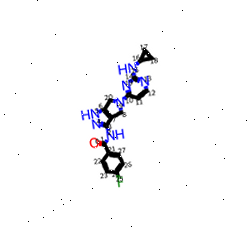 O=C(Nc1n[nH]c2c1CN(c1ccnc(NC3CC3)n1)C2)c1ccc(F)cc1